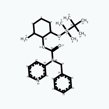 CC1CCCC(O[Si](C)(C)C(C)(C)C)C1OC(=O)N(Cc1ccccc1)c1cccnc1